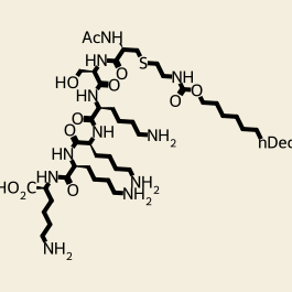 CCCCCCCCCCCCCCCCOC(=O)NCCSC[C@@H](NC(C)=O)C(=O)N[C@H](CO)C(=O)N[C@@H](CCCCN)C(=O)N[C@@H](CCCCN)C(=O)N[C@@H](CCCCN)C(=O)N[C@@H](CCCCN)C(=O)O